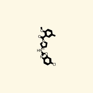 COc1ccc(C)cc1C(=O)N1CC[C@@H](Nc2nc3ccc(Cl)cc3o2)C1